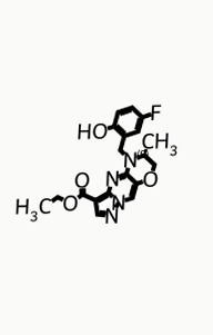 CCOC(=O)c1cnn2cc3c(nc12)N(Cc1cc(F)ccc1O)[C@@H](C)CO3